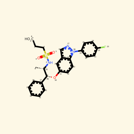 C[C@H](NS(=O)(=O)CCC(=O)O)[C@H](Oc1ccc2c(cnn2-c2ccc(F)cc2)c1)c1ccccc1